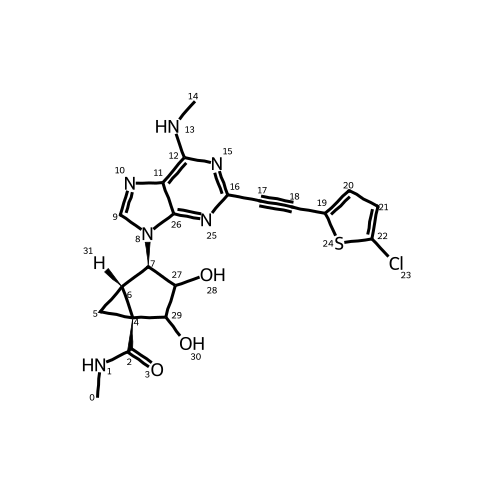 CNC(=O)[C@@]12C[C@@H]1[C@@H](n1cnc3c(NC)nc(C#Cc4ccc(Cl)s4)nc31)C(O)C2O